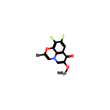 CCOC(=O)Oc1cn2c3c(c(F)c(F)cc3c1=O)OC(CC)=C2